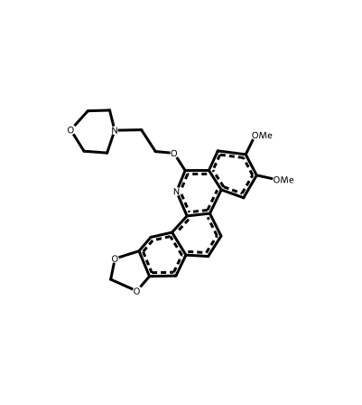 COc1cc2c(OCCN3CCOCC3)nc3c4cc5c(cc4ccc3c2cc1OC)OCO5